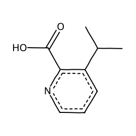 CC(C)c1cccnc1C(=O)O